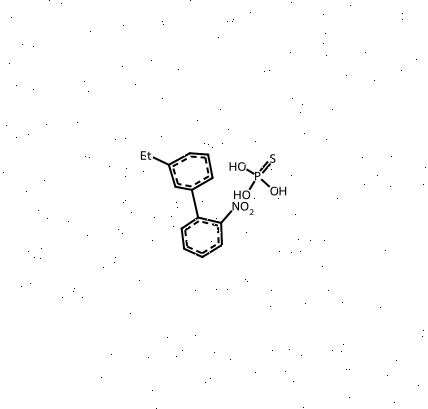 CCc1cccc(-c2ccccc2[N+](=O)[O-])c1.OP(O)(O)=S